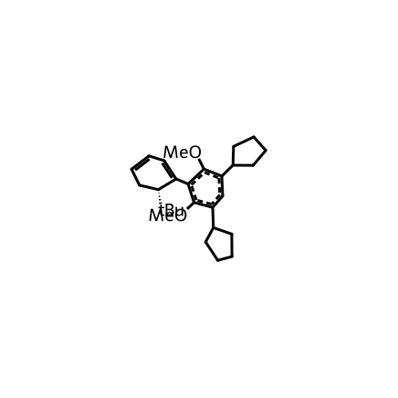 COc1c(C2CCCC2)cc(C2CCCC2)c(OC)c1C1=CC=CC[C@H]1C(C)(C)C